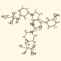 CS(=O)(=O)Nc1cccc(N2CCc3c(-c4cccc(O)c4)nc(N4CCOCC4)nc32)c1.O=C(O)C(F)(F)F